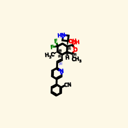 C[C@H]1OC(O)[C@]2(C3(O)CNC3)CC(F)(F)[C@@H](C)[C@H](/C=C/c3ccc(-c4ccccc4C#N)cn3)[C@H]12